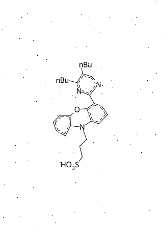 CCCCc1cnc(-c2cccc3c2Oc2ccccc2N3CCCS(=O)(=O)O)nc1CCCC